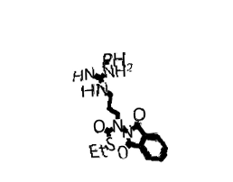 CCSC(=O)N(CCCNC(=N)NP)N1C(=O)c2ccccc2C1=O